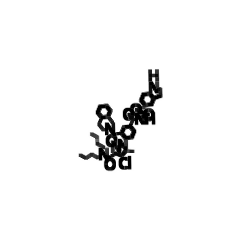 CCCCN(CCCC)C(=O)c1nn(-c2ccc(C(=O)NS(=O)(=O)c3ccc4[nH]ccc4c3)cc2C(=O)N2CCc3ccccc3C2)c(C)c1Cl